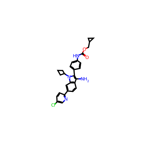 Nc1c(-c2ccc(NC(=O)OCC3CC3)cc2)n(C2CCC2)c2cc(-c3ccc(Cl)cn3)ccc12